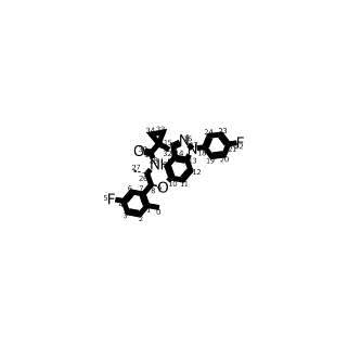 Cc1ccc(F)cc1[C@@H](Oc1ccc2c(cnn2-c2ccc(F)cc2)c1)[C@H](C)NC(=O)C1(C)CC1